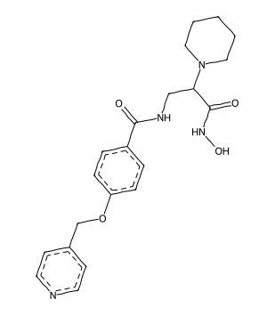 O=C(NCC(C(=O)NO)N1CCCCC1)c1ccc(OCc2ccncc2)cc1